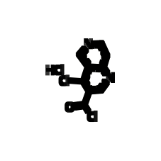 Cl.O=C(Cl)c1cnc2ccncc2c1Cl